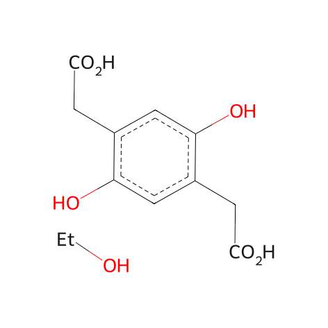 CCO.O=C(O)Cc1cc(O)c(CC(=O)O)cc1O